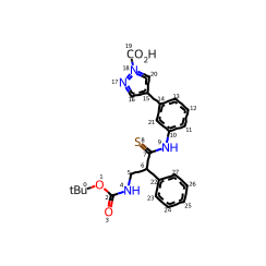 CC(C)(C)OC(=O)NCC(C(=S)Nc1cccc(-c2cnn(C(=O)O)c2)c1)c1ccccc1